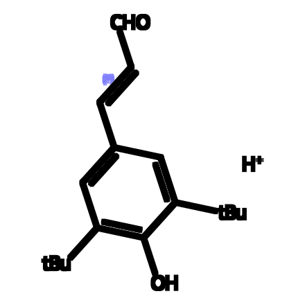 CC(C)(C)c1cc(/C=C/C=O)cc(C(C)(C)C)c1O.[H+]